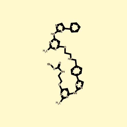 Cc1nc(Nc2ncc(-c3ccccc3)s2)cc(OCCNCc2ccc(-c3cnc(Nc4cc(OCCNC(=O)OC(C)(C)C)nc(C)n4)s3)cc2)n1